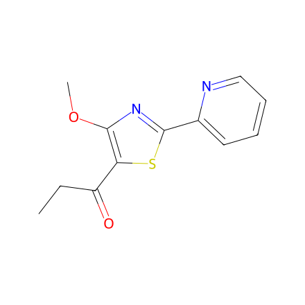 CCC(=O)c1sc(-c2ccccn2)nc1OC